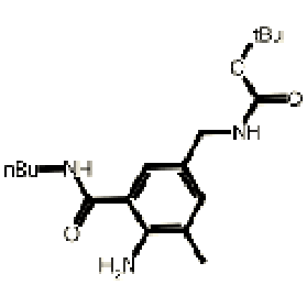 CCCCNC(=O)c1cc(CNC(=O)OC(C)(C)C)cc(C)c1N